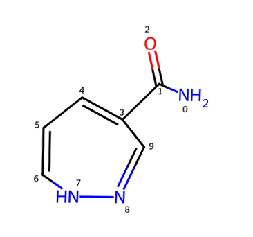 NC(=O)C1=CC=CNN=C1